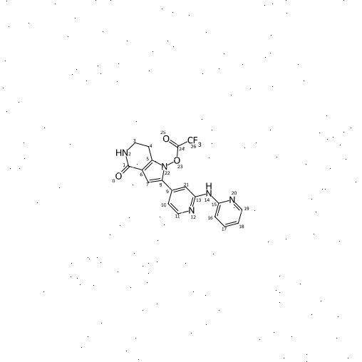 O=C1NCCc2c1cc(-c1ccnc(Nc3ccccn3)c1)n2OC(=O)C(F)(F)F